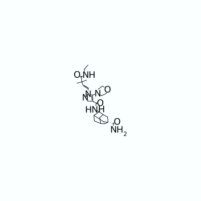 CCNC(=O)C(C)(C)/C=C/n1ncc(C(=O)N[C@H]2C3CC4CC2C[C@](C(N)=O)(C4)C3)c1N1CCOCC1